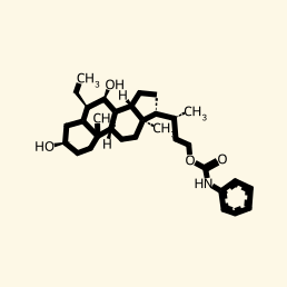 CC[C@@H]1C2C[C@H](O)CCC2(C)[C@H]2CC[C@]3(C)[C@@H]([C@H](C)CCOC(=O)Nc4ccccc4)CC[C@H]3C2[C@@H]1O